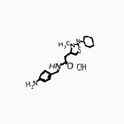 CN1/C(=N/C2CCCCCC2)SCC1CC(=O)NCc1ccc(N)cc1.Cl